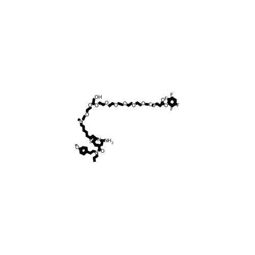 CCCN(CCc1ccc(OC)cc1)C(=O)C1=Cc2sc(CCCCCN(C)CCOCCOC(CO)OCCOCCOCCOCCOCCOCCOCCC(=O)Oc3c(F)c(F)cc(F)c3F)cc2N=C(N)C1